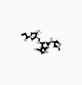 C=CC(=O)N1C[C@H](COc2nc(Nc3cnn(C)c3)nc3[nH]cc(Cl)c23)[C@@H](C(F)(F)F)C1